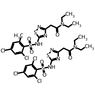 CCN(CC)C(=O)Cc1nsc(NS(=O)(=O)c2c(C)cc(Cl)cc2Cl)n1.CCN(CC)C(=O)Cc1nsc(NS(=O)(=O)c2c(Cl)cc(Cl)cc2Cl)n1